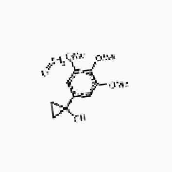 COc1cc(C2(O)CC2)cc(OC)c1OC.O=[SH2]